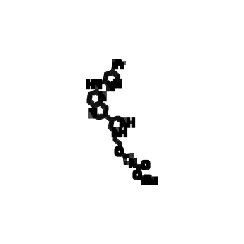 CC(C)c1cnnc(Nc2ccc3ncc(/C(C=N)=C/NCCOC4CN(C(=O)OC(C)(C)C)C4)cc3n2)c1